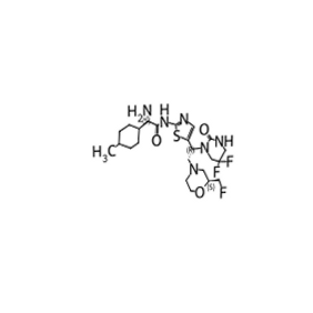 CC1CCC([C@H](N)C(=O)Nc2ncc([C@@H](CN3CCO[C@H](CF)C3)N3CC(F)(F)CNC3=O)s2)CC1